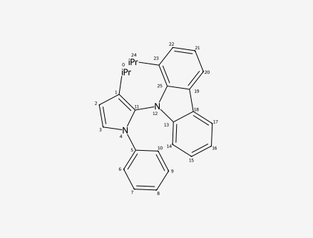 CC(C)c1ccn(-c2ccccc2)c1-n1c2ccccc2c2cccc(C(C)C)c21